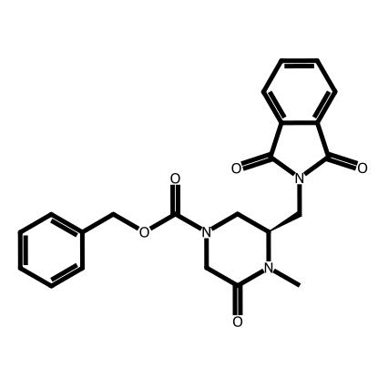 CN1C(=O)CN(C(=O)OCc2ccccc2)C[C@H]1CN1C(=O)c2ccccc2C1=O